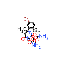 CN1C(=O)C[C@@](C)(c2cccc(Br)c2)N(C(C)(C)C)C1(OC(N)=O)OC(N)=O